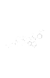 C=CC(=O)N1CCCC(NC(=O)c2sc3nccc4c3c2NC(=O)N4c2cccc(CCC)c2)C1